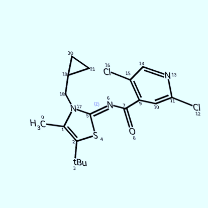 Cc1c(C(C)(C)C)s/c(=N\C(=O)c2cc(Cl)ncc2Cl)n1CC1CC1